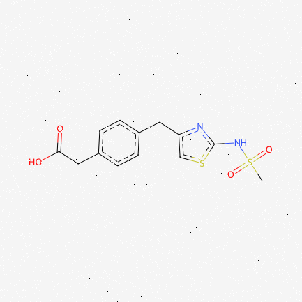 CS(=O)(=O)Nc1nc(Cc2ccc(CC(=O)O)cc2)cs1